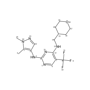 Cc1c(Nc2ncc(C(F)(F)F)c(NCC3CCOCC3)n2)cnn1C